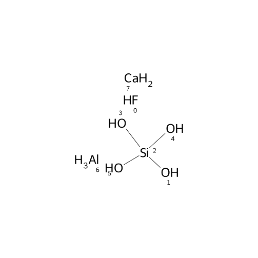 F.O[Si](O)(O)O.[AlH3].[CaH2]